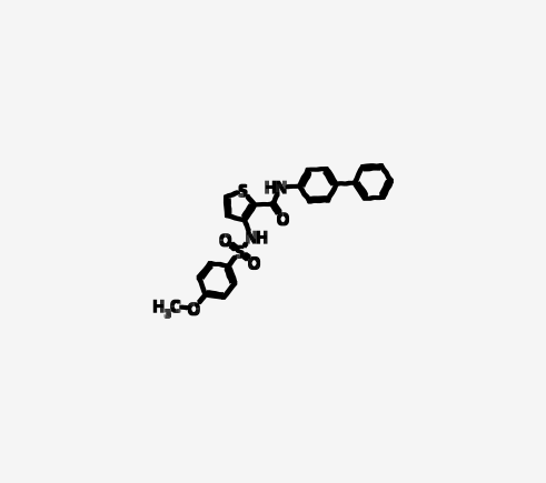 COc1ccc(S(=O)(=O)Nc2ccsc2C(=O)Nc2ccc(-c3ccccc3)cc2)cc1